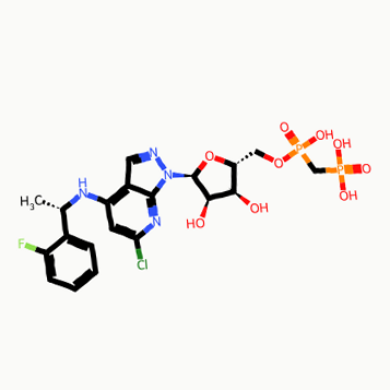 C[C@H](Nc1cc(Cl)nc2c1cnn2[C@H]1O[C@H](COP(=O)(O)CP(=O)(O)O)[C@@H](O)[C@H]1O)c1ccccc1F